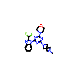 CN1CC2(C1)CN(c1nc(N3CCOCC3)nc(-n3c(C(F)F)nc4ccccc43)n1)C2